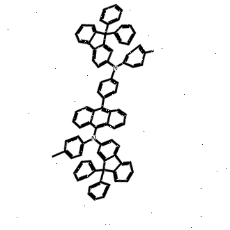 Cc1ccc(N(c2ccc(-c3c4ccccc4c(N(c4ccc(C)cc4)c4ccc5c(c4)C(c4ccccc4)(c4ccccc4)c4ccccc4-5)c4ccccc34)cc2)c2ccc3c(c2)C(c2ccccc2)(c2ccccc2)c2ccccc2-3)cc1